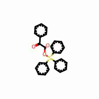 O=C(OS(c1ccccc1)(c1ccccc1)c1ccccc1)C(=O)c1ccccc1